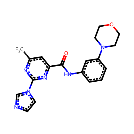 O=C(Nc1cccc(N2CCOCC2)c1)c1cc(C(F)(F)F)nc(-n2ccnc2)n1